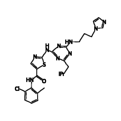 Cc1cccc(Cl)c1NC(=O)c1cnc(Nc2nc(CC(C)C)nc(NCCCn3ccnc3)n2)s1